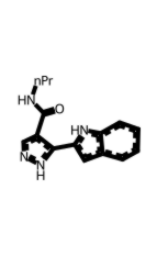 CCCNC(=O)c1cn[nH]c1-c1cc2ccccc2[nH]1